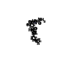 NC(=O)N/N=C/c1cc(C(=O)Nc2ncc(-c3cccc(N4CCCC4)c3)s2)cc(F)c1O